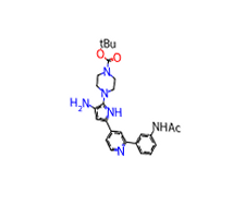 CC(=O)Nc1cccc(-c2cc(-c3cc(N)c(N4CCN(C(=O)OC(C)(C)C)CC4)[nH]3)ccn2)c1